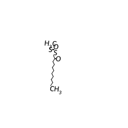 CCCCCCCCCCC(=O)CSC(=S)OC